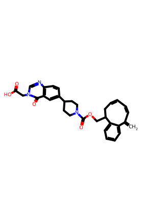 C=C1/C=C\C=C/CC(COC(=O)N2CCC(c3ccc4ncn(CC(=O)O)c(=O)c4c3)CC2)c2ccccc21